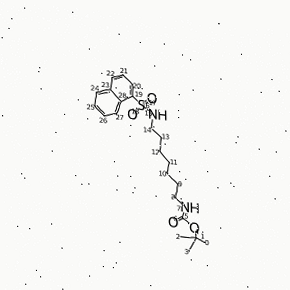 CC(C)(C)OC(=O)NCCCCCCCNS(=O)(=O)c1cccc2ccccc12